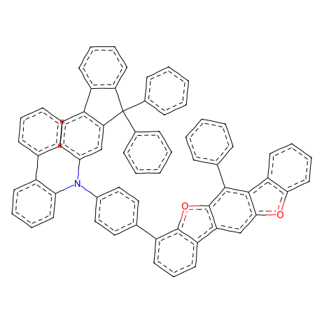 c1ccc(-c2ccccc2N(c2ccc(-c3cccc4c3oc3c(-c5ccccc5)c5c(cc34)oc3ccccc35)cc2)c2ccc3c(c2)C(c2ccccc2)(c2ccccc2)c2ccccc2-3)cc1